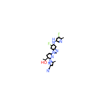 Cc1ncc(Nc2cc3ncn(-c4ccc(C(C)O)c(-n5nc(C#N)cc5C)n4)c3cc2F)cc1F